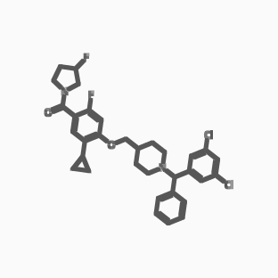 O=C(c1cc(C2CC2)c(OCC2CCN(C(c3ccccc3)c3cc(Cl)cc(Cl)c3)CC2)cc1F)N1CCC(F)C1